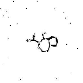 CC(=O)N1OCCc2ccccc2C1C